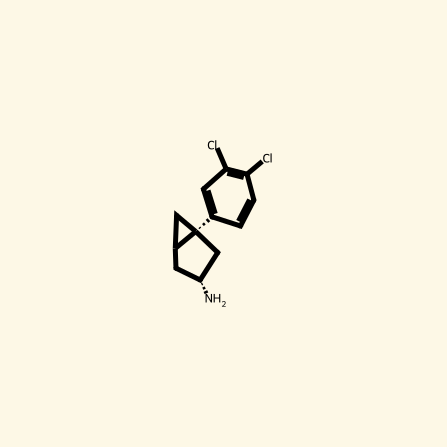 N[C@@H]1CC2C[C@@]2(c2ccc(Cl)c(Cl)c2)C1